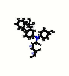 C/C=C(C)\C=C/C(C)N(c1ccc(C)cc1)c1ccc2c(c1)C(C)(C)c1ccccc1-2